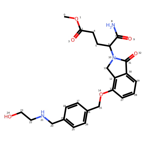 COC(=O)CCC(C(N)=O)N1Cc2c(OCc3ccc(CNCCO)cc3)cccc2C1=O